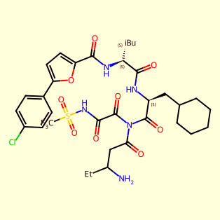 CCC(N)CC(=O)N(C(=O)C(=O)NS(=O)(=O)C(F)(F)F)C(=O)[C@H](CC1CCCCC1)NC(=O)[C@@H](NC(=O)c1ccc(-c2ccc(Cl)cc2)o1)[C@@H](C)CC